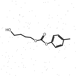 Cc1ccc(OC(=O)OCCCCO)cc1